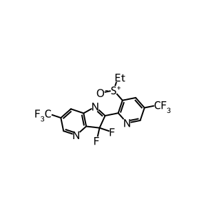 CC[S+]([O-])c1cc(C(F)(F)F)cnc1C1=Nc2cc(C(F)(F)F)cnc2C1(F)F